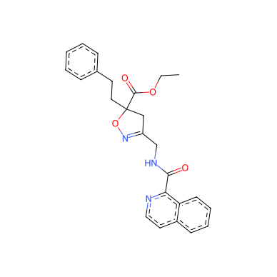 CCOC(=O)C1(CCc2ccccc2)CC(CNC(=O)c2nccc3ccccc23)=NO1